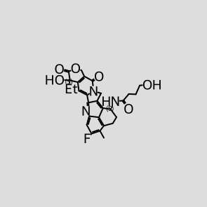 CC[C@@]1(O)C(=O)OCc2c1cc1n(c2=O)Cc2c-1nc1cc(F)c(C)c3c1c2[C@@H](NC(=O)CCCO)CC3